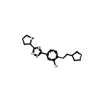 FC(F)(F)c1cc(-c2noc(C3CCCN3)n2)ccc1CCC1CCCC1